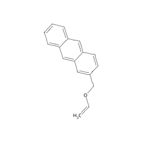 C=COCc1ccc2cc3ccccc3cc2c1